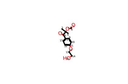 CC(C)(OC=O)C(=O)c1ccc(OCCO)cc1